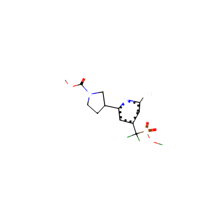 Cc1cc(C(F)(F)S(=O)(=O)OF)cc(C2CCN(C(=O)OC(C)(C)C)C2)n1